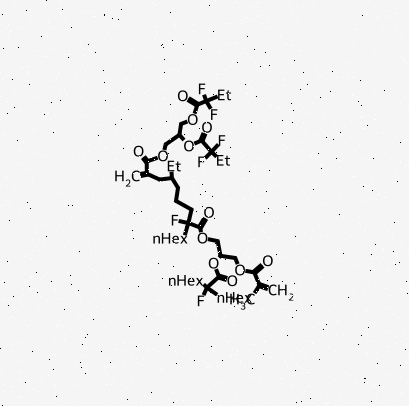 C=C(C)C(=O)OCC(COC(=O)C(F)(CCCCCC)CCCC(CC)CC(=C)C(=O)OCC(COC(=O)C(F)(F)CC)OC(=O)C(F)(F)CC)OC(=O)C(F)(CCCCCC)CCCCCC